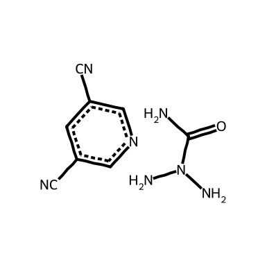 N#Cc1cncc(C#N)c1.NC(=O)N(N)N